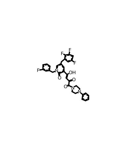 O=C(C=C(O)c1cc(Cc2cc(F)cc(F)c2F)cn(Cc2cccc(F)c2)c1=O)C(=O)N1CCN(c2ccccc2)CC1